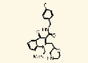 CSCn1c(CC2CNCCO2)c(C(=O)NCc2ccc(Cl)cc2)c(=O)c2ccccc21